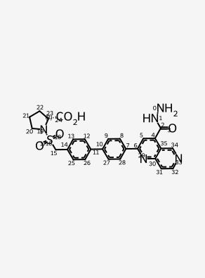 NNC(=O)c1cc(-c2ccc(-c3ccc(CS(=O)(=O)N4CCC[C@@H]4C(=O)O)cc3)cc2)nc2ccncc12